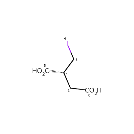 O=C(O)C[C@@H](CI)C(=O)O